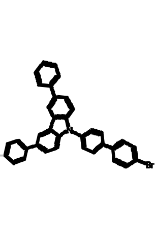 Brc1ccc(-c2ccc(-n3c4ccc(-c5ccccc5)cc4c4cc(-c5ccccc5)ccc43)cc2)cc1